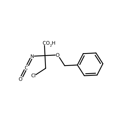 O=C=NC(CCl)(OCc1ccccc1)C(=O)O